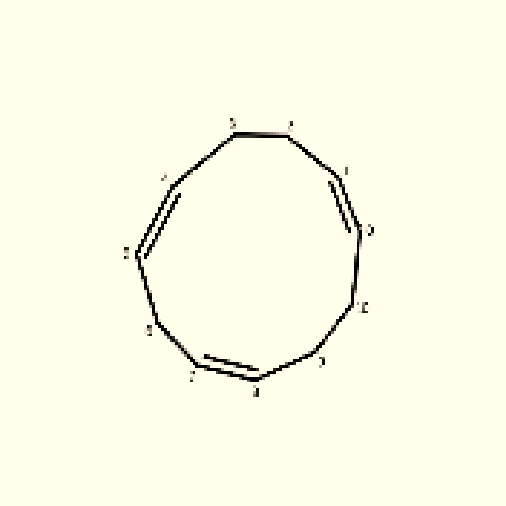 [C]1=CCCC=CCC=CCC1